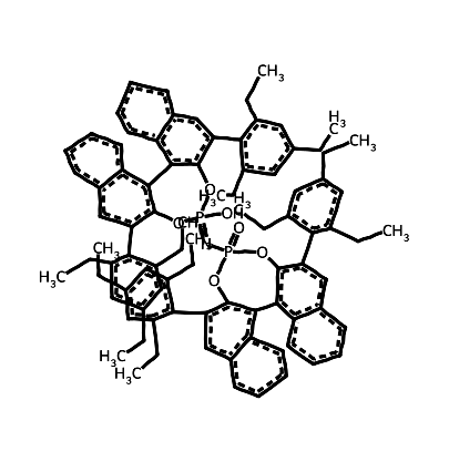 CCc1cc(CC)c(-c2cc3ccccc3c3c2OP(=O)(N=P2(O)Oc4c(-c5c(CC)cc(CC)cc5CC)cc5ccccc5c4-c4c(c(-c5c(CC)cc(CC)cc5CC)cc5ccccc45)O2)Oc2c(-c4c(CC)cc(CC)cc4CC)cc4ccccc4c2-3)c(CC)c1